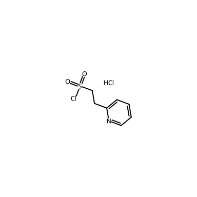 Cl.O=S(=O)(Cl)CCc1ccccn1